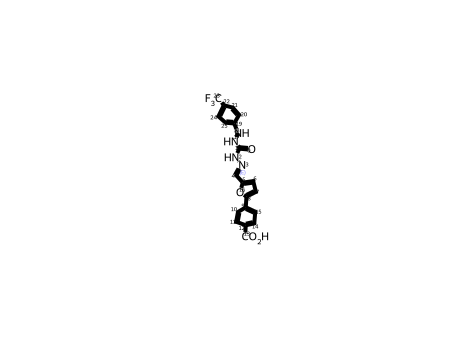 O=C(N/N=C/c1ccc(-c2ccc(C(=O)O)cc2)o1)NNc1ccc(C(F)(F)F)cc1